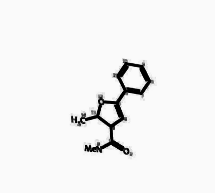 CNC(=O)C1C=C(c2ccccc2)OC1C